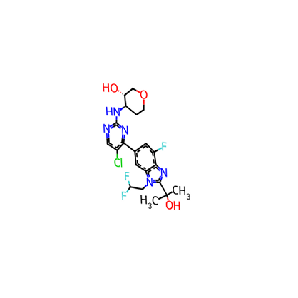 CC(C)(O)c1nc2c(F)cc(-c3nc(N[C@@H]4CCOC[C@H]4O)ncc3Cl)cc2n1CC(F)F